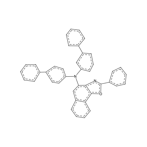 c1ccc(-c2ccc(N(c3cccc(-c4ccccc4)c3)c3cc4ccccc4c4oc(-c5ccccc5)nc34)cc2)cc1